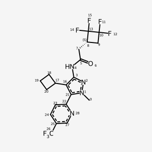 Cn1nc(NC(=O)C[C@H]2CC(F)(F)C2(F)F)c(C2CCC2)c1-c1ccc(C(F)(F)F)cn1